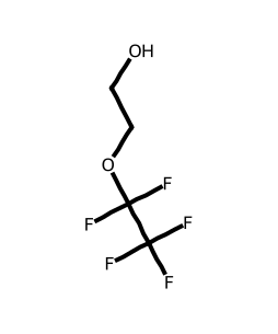 OCCOC(F)(F)C(F)(F)F